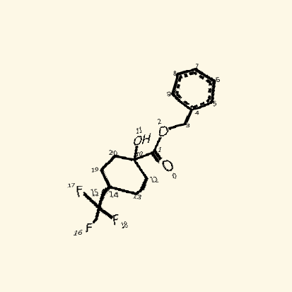 O=C(OCc1ccccc1)C1(O)CCC(C(F)(F)F)CC1